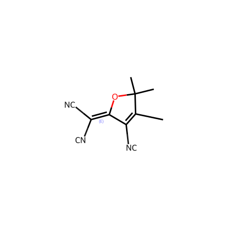 [C-]#[N+]C1=C(C)C(C)(C)O/C1=C(\C#N)[N+]#[C-]